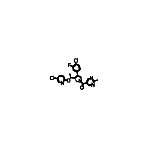 Cc1ncc(C(=O)N2C[C@H]([C@H](C)Oc3ccc(Cl)cn3)[C@@H](c3ccc(Cl)c(F)c3)C2)cn1